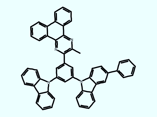 Cc1nc2c3ccccc3c3ccccc3c2nc1-c1cc(-n2c3ccccc3c3ccccc32)cc(-n2c3ccccc3c3cc(-c4ccccc4)ccc32)c1